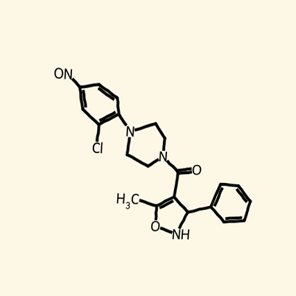 CC1=C(C(=O)N2CCN(c3ccc(N=O)cc3Cl)CC2)C(c2ccccc2)NO1